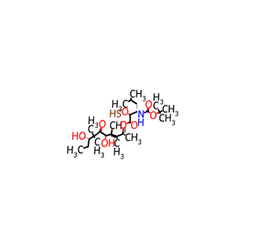 CC[C@H](O)C(C)(C)C(=O)[C@H](O)/C(C)=C(\C)[C@H](C)OC(=O)C(OS)[C@H](CC(C)C)NC(=O)OC(C)(C)C